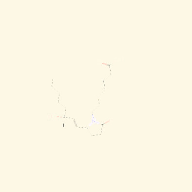 CCCCC[C@@](C)(O)/C=C/C1CCC(=O)N1CCSCCCC(=O)O